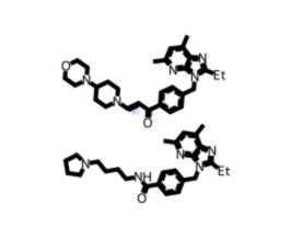 CCc1nc2c(C)cc(C)nc2n1Cc1ccc(C(=O)/C=C/N2CCC(N3CCOCC3)CC2)cc1.CCc1nc2c(C)cc(C)nc2n1Cc1ccc(C(=O)NCCCCN2CCCC2)cc1